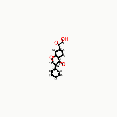 O=C(CO)c1ccc2c(=O)c(-c3ccccc3)coc2c1